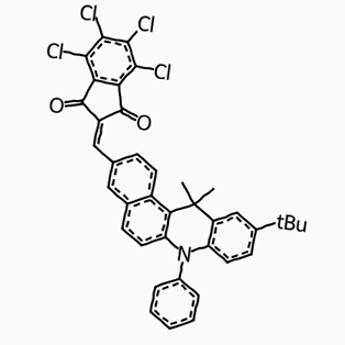 CC(C)(C)c1ccc2c(c1)C(C)(C)c1c(ccc3cc(C=C4C(=O)c5c(Cl)c(Cl)c(Cl)c(Cl)c5C4=O)ccc13)N2c1ccccc1